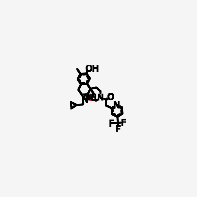 Cc1cc2c(cc1O)C13CCN(C(=O)Cc4cc(C(F)(F)F)ccn4)CCC1(O)C(C2)N(CC1CC1)CC3